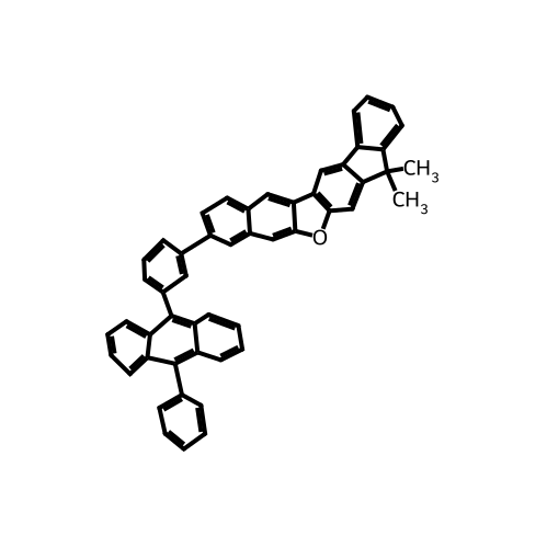 CC1(C)c2ccccc2-c2cc3c(cc21)oc1cc2cc(-c4cccc(-c5c6ccccc6c(-c6ccccc6)c6ccccc56)c4)ccc2cc13